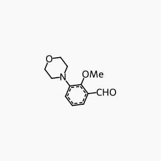 COc1c(C=O)cccc1N1CCOCC1